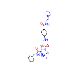 CCN1C(=O)[C@@H](CNc2ccc(C(=O)NCCN3CCCC3)cc2)SC1[C@H](N)C(=O)NCc1ccc(OC)cc1